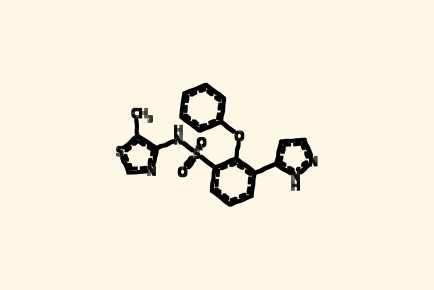 Cc1scnc1NS(=O)(=O)c1cccc(-c2ccn[nH]2)c1Oc1ccccc1